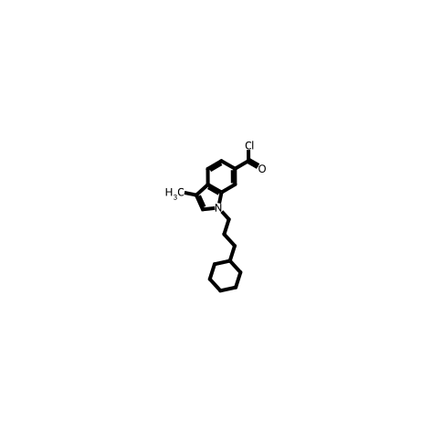 Cc1cn(CCCC2CCCCC2)c2cc(C(=O)Cl)ccc12